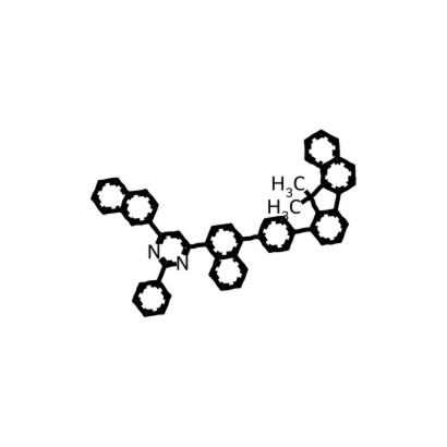 CC1(C)c2c(-c3ccc(-c4ccc(-c5cc(-c6ccc7ccccc7c6)nc(-c6ccccc6)n5)c5ccccc45)cc3)cccc2-c2ccc3ccccc3c21